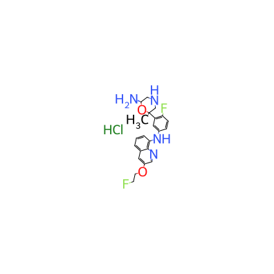 CC1(c2cc(Nc3cccc4cc(OCCF)cnc34)ccc2F)CNC[C@H](N)O1.Cl